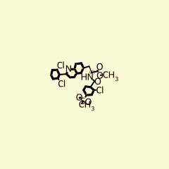 COC(=O)[C@H](Cc1ccc2nc(-c3c(Cl)cccc3Cl)ccc2c1)NC(=O)c1ccc(S(C)(=O)=O)cc1Cl